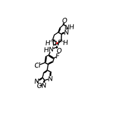 O=C(Nc1cc(Cl)c(-c2cnc3nonc3c2)cc1F)N1[C@H]2CC[C@@H]1c1n[nH]c(=O)cc1C2